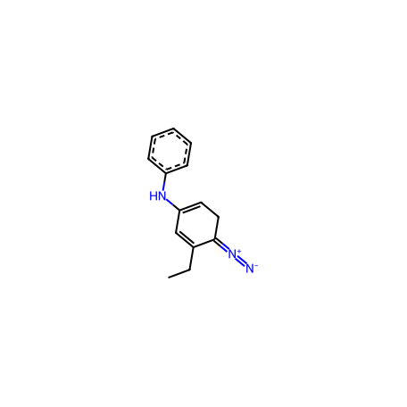 CCC1=CC(Nc2ccccc2)=CCC1=[N+]=[N-]